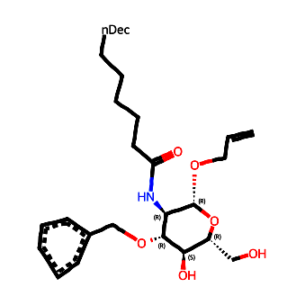 C=CCO[C@@H]1O[C@H](CO)[C@@H](O)[C@H](OCc2ccccc2)[C@H]1NC(=O)CCCCCCCCCCCCCCC